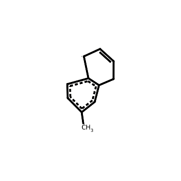 Cc1ccc2c(c1)CC=C[CH]2